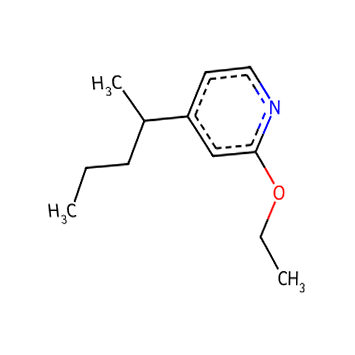 CCCC(C)c1ccnc(OCC)c1